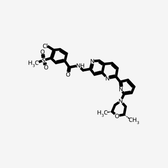 C[C@@H]1CN(c2cccc(-c3ccc4cnc(CNC(=O)c5ccc(Cl)c(S(C)(=O)=O)c5)cc4n3)n2)C[C@H](C)O1